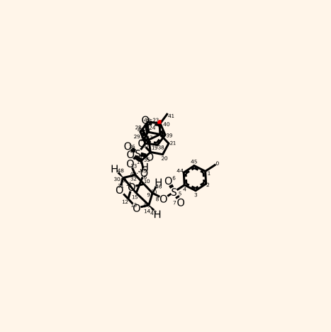 Cc1ccc(S(=O)(=O)O[C@H]2C3OC4O[C@@H]2C(OC(=O)C25CCC(C)(C(=O)O2)C5(C)C)[C@H](O4)[C@H]3OS(=O)(=O)c2ccc(C)cc2)cc1